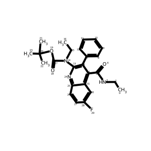 CCNC(=O)c1c(-c2ccccc2)c(N(CC)C(=O)OC(C)(C)C)nc2ccc(F)cc12